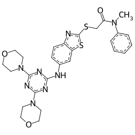 CN(C(=O)CSc1nc2ccc(Nc3nc(N4CCOCC4)nc(N4CCOCC4)n3)cc2s1)c1ccccc1